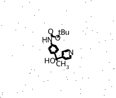 CC(C)(C)OC(=O)Nc1ccc(C(C)(O)c2ccncc2)cc1